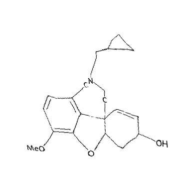 COc1ccc2c3c1OC1CC(O)C=CC31CCN(CC1CC1)C2